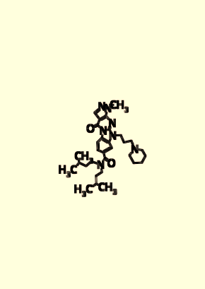 CC(C)CCN(CCC(C)C)C(=O)c1ccc2c(c1)n(CCCN1CCCCC1)c1nc3c(cnn3C)c(=O)n21